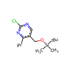 CC(C)c1nc(Cl)ncc1CO[Si](C)(C)C(C)(C)C